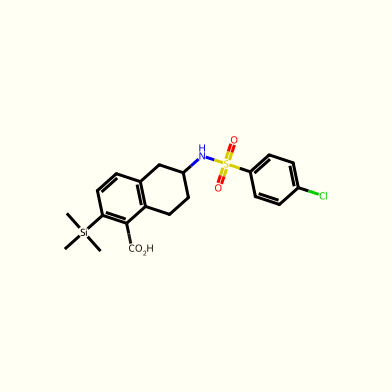 C[Si](C)(C)c1ccc2c(c1C(=O)O)CCC(NS(=O)(=O)c1ccc(Cl)cc1)C2